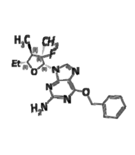 CC[C@H]1O[C@@H](n2cnc3c(OCc4ccccc4)nc(N)nc32)[C@](C)(F)[C@@H]1C